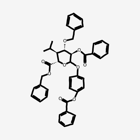 CC(C)[C@H]1[C@H](OCc2ccccc2)[C@@H](OC(=O)c2ccccc2)C(Oc2ccc(OC(=O)c3ccccc3)cc2)O[C@@H]1C(=O)OCc1ccccc1